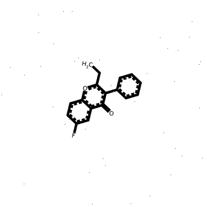 CCc1oc2ccc(F)cc2c(=O)c1-c1ccccc1